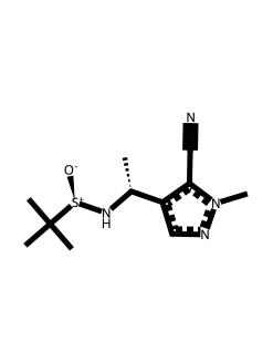 C[C@@H](N[S@+]([O-])C(C)(C)C)c1cnn(C)c1C#N